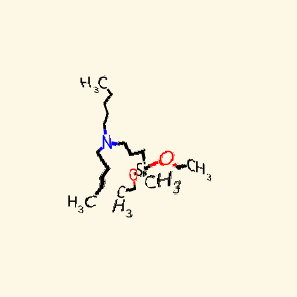 CCCCCN(CCCCC)CCC[Si](C)(OCC)OCC